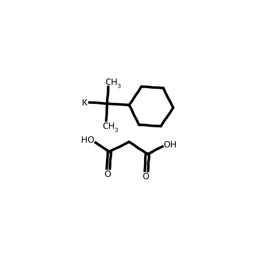 C[C](C)([K])C1CCCCC1.O=C(O)CC(=O)O